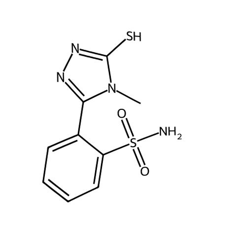 Cn1c(S)nnc1-c1ccccc1S(N)(=O)=O